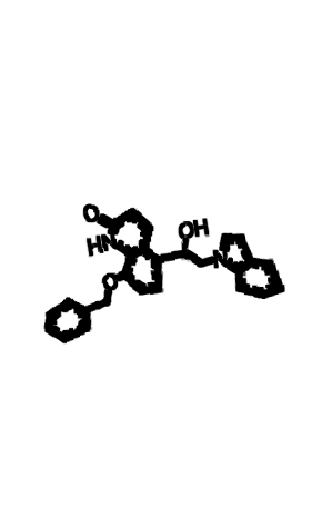 O=c1ccc2c([C@@H](O)Cn3ccc4ccccc43)ccc(OCc3ccccc3)c2[nH]1